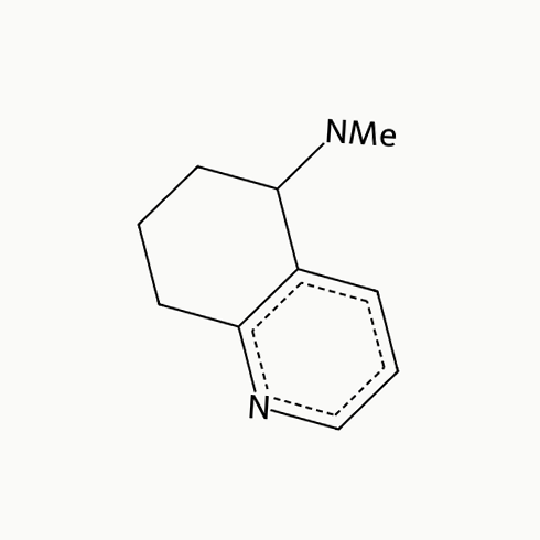 CNC1CCCc2ncccc21